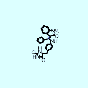 O=C1NC(=O)C(Cc2ccc(N/C(=C3\C(=O)Nc4ccccc43)c3ccccc3)cc2)N1